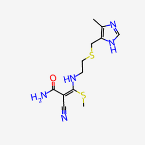 CSC(NCCSCc1[nH]cnc1C)=C(C#N)C(N)=O